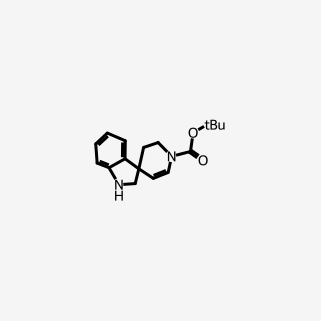 CC(C)(C)OC(=O)N1C=CC2(CC1)CNc1ccccc12